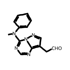 CN(c1ccccc1)c1ncnc2c(CC=O)cnn12